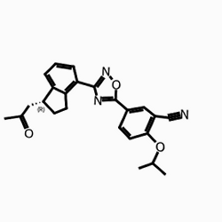 CC(=O)C[C@H]1CCc2c(-c3noc(-c4ccc(OC(C)C)c(C#N)c4)n3)cccc21